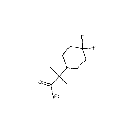 CC(C)C(=O)C(C)(C)C1CCC(F)(F)CC1